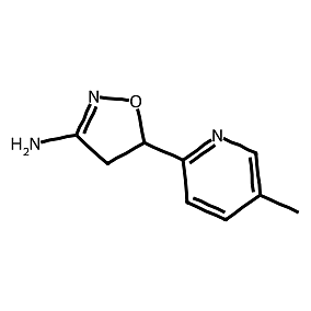 Cc1ccc(C2CC(N)=NO2)nc1